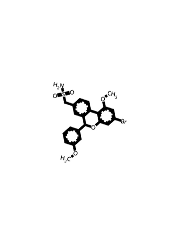 COc1cccc(C2Oc3cc(Br)cc(OC)c3-c3ccc(CS(N)(=O)=O)cc32)c1